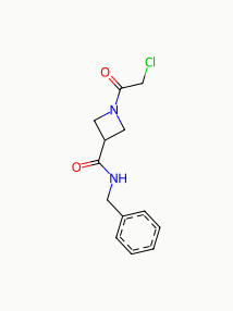 O=C(NCc1ccccc1)C1CN(C(=O)CCl)C1